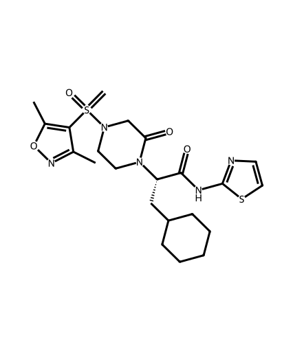 C=S(=O)(c1c(C)noc1C)N1CCN([C@@H](CC2CCCCC2)C(=O)Nc2nccs2)C(=O)C1